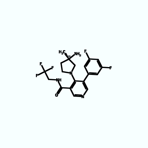 C[C@]1(N)CCN(c2c(C(=O)NCC(F)(F)F)cncc2-c2cc(F)cc(F)c2)C1